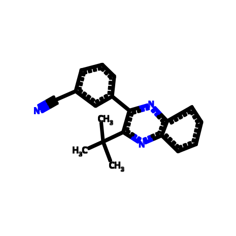 CC(C)(C)c1nc2ccccc2nc1-c1cccc(C#N)c1